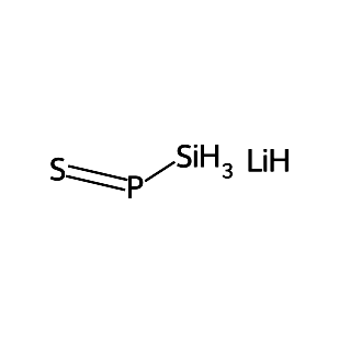 [LiH].[SiH3]P=S